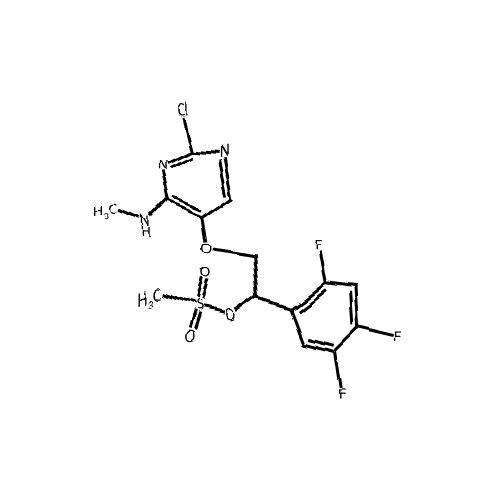 CNc1nc(Cl)ncc1OCC(OS(C)(=O)=O)c1cc(F)c(F)cc1F